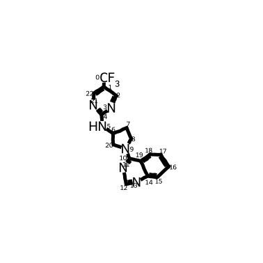 FC(F)(F)c1cnc(NC2CCN(c3ncnc4ccccc34)C2)nc1